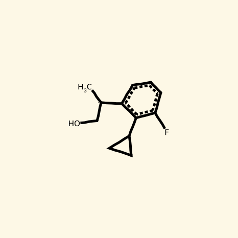 C[C](CO)c1cccc(F)c1C1CC1